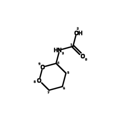 O=C(O)NC1CCCOO1